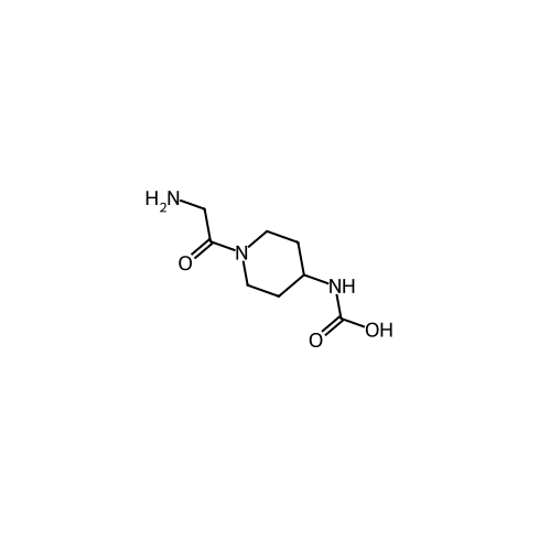 NCC(=O)N1CCC(NC(=O)O)CC1